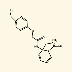 C=CCC1(NC(=O)COc2ccc(CC)cc2)C=CC=CC1C(N)=O